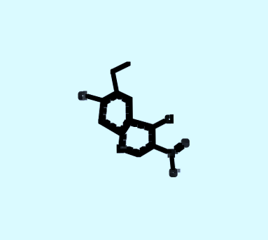 CCc1cc2c(Cl)c([N+](=O)[O-])cnc2cc1Cl